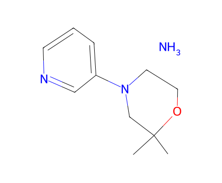 CC1(C)CN(c2cccnc2)CCO1.N